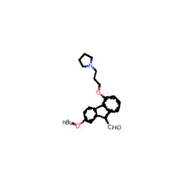 CCCCOc1ccc2c(c1)C(C=O)c1cccc(OCCCN3CCCC3)c1-2